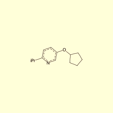 CC(C)c1ccc(OC2CCCC2)cn1